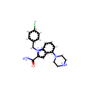 NC(=O)c1cc2c(N3CCNCC3)cccc2n1Cc1ccc(F)cc1